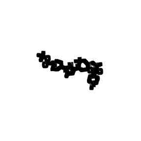 Cc1cc(N2CC[C@@H](CN(C)S(=O)(=O)N3CCN(C)CC3)CC2(C)C)nn1C1CCN(C(=O)OC(C)(C)C)CC1